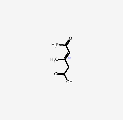 C/C(=C\C(=O)P)CC(=O)O